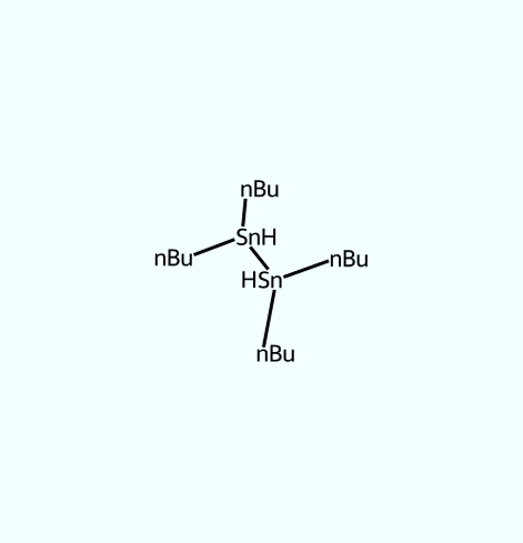 CCC[CH2][SnH]([CH2]CCC)[SnH]([CH2]CCC)[CH2]CCC